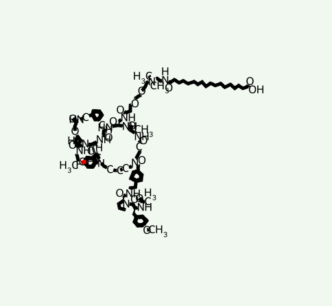 COc1ccc(C[C@H](NC(C)=O)C(=O)N2CCC[C@H]2C(=O)NCCc2ccc(CN3CCCCCCn4cc(c5cc(F)ccc54)C[C@@H]4NC(=O)[C@H](Cc5cccc(c5)CNC(=O)CO[C@H]5CCN(C4=O)C5C(=O)NC[C@@H](C)O)NC(=O)[C@@H](CNC(=O)CCOCCOCC[N+](C)(C)CCNC(=O)CCCCCCCCCCCCCCCCC(=O)O)NC(=O)[C@H](C)NC(=O)CCC3=O)cc2)cc1